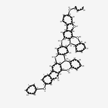 c1ccc(Oc2ccc3c(c2)oc2c4c5c(cc23)Sc2cc3c(cc2B5c2ccccc2O4)B2c4ccccc4Oc4c2c(cc2c4oc4cc(Oc5ccccc5)ccc42)S3)cc1